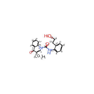 O=C(O)c1cn(C(=O)Nc2ccccc2CCO)c2ccccc2c1=O